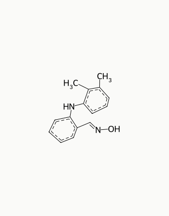 Cc1cccc(Nc2ccccc2C=NO)c1C